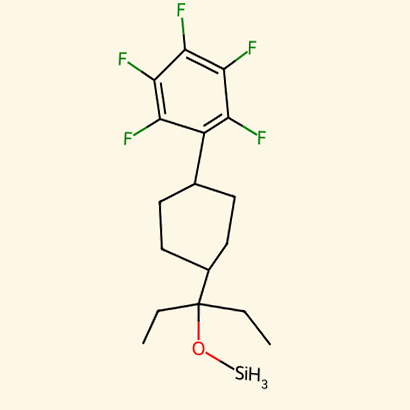 CCC(CC)(O[SiH3])C1CCC(c2c(F)c(F)c(F)c(F)c2F)CC1